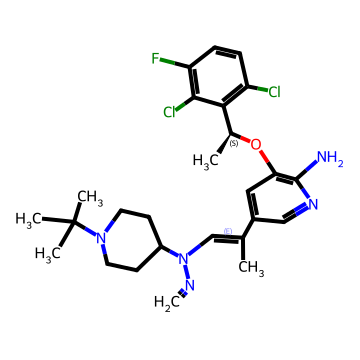 C=NN(/C=C(\C)c1cnc(N)c(O[C@@H](C)c2c(Cl)ccc(F)c2Cl)c1)C1CCN(C(C)(C)C)CC1